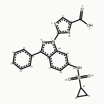 O=C(O)c1csc(-n2nc(-c3ccccc3)c3ccc(NS(=O)(=O)C4CC4)cc32)n1